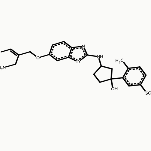 Cc1ccc(S(=O)(=O)O)cc1C1(O)CCC(Nc2nc3ccc(OCC(=CF)CN)cc3o2)C1